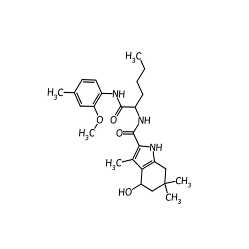 CCCCC(NC(=O)c1[nH]c2c(c1C)C(O)CC(C)(C)C2)C(=O)Nc1ccc(C)cc1OC